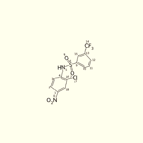 O=[N+]([O-])c1ccc(NS(=O)(=O)c2cccc(C(F)(F)F)c2)c(Cl)c1